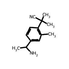 Cc1cc(C(C)N)ccc1C(C)(C)C#N